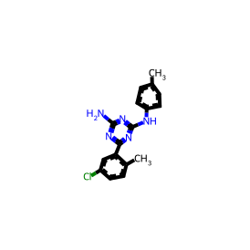 Cc1ccc(Nc2nc(N)nc(-c3cc(Cl)ccc3C)n2)cc1